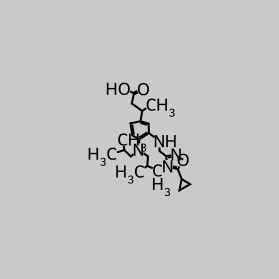 CC(C)CN(CC(C)C)c1ccc(C(C)CC(=O)O)cc1NCc1noc(C2CC2)n1